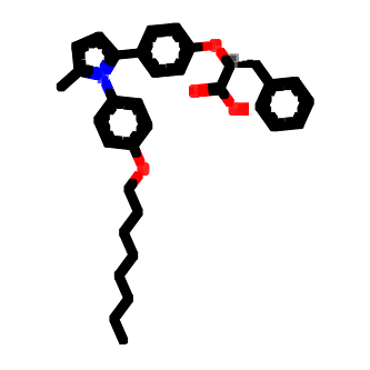 CCCCCCCCOc1ccc(-n2c(C)ccc2-c2ccc(O[C@H](Cc3ccccc3)C(=O)O)cc2)cc1